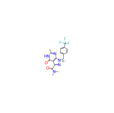 Cc1nc2c(c(C(=O)N(C)C)nn2[C@@H](C)c2ccc(C(F)(F)F)cc2)c(=O)[nH]1